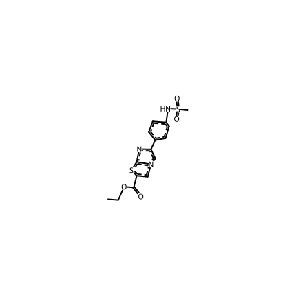 CCOC(=O)c1cn2cc(-c3ccc(NS(C)(=O)=O)cc3)nc2s1